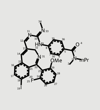 CCCN(C)C(=O)c1ccc(NC(/N=C\C2=Cc3ccc(I)cc3C(c3c(F)cccc3OC)=NC2)=N/C)cc1